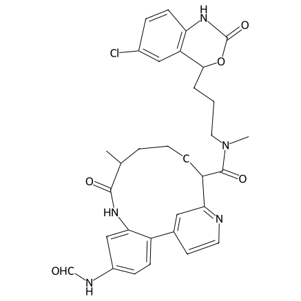 CC1CCCC(C(=O)N(C)CCCC2OC(=O)Nc3ccc(Cl)cc32)c2cc(ccn2)-c2ccc(NC=O)cc2NC1=O